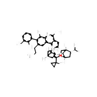 Cc1nc2c(F)c(-c3cccc(Cl)c3Cl)c(CCC#N)cc2c2c1cc([C@H]1[C@H]3C[C@H](C[C@@H]3C(F)F)N1C(=O)C1(F)CC1)n2[C@H]1[C@H]2CN[C@@H]1C2